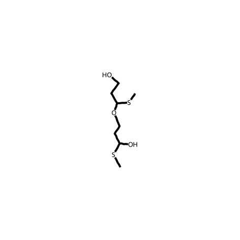 CSC(O)CCOC(CCO)SC